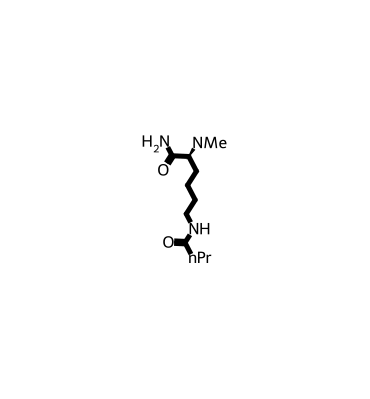 CCCC(=O)NCCCC[C@H](NC)C(N)=O